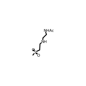 CC(=O)NCCNCCS(C)(=O)=O